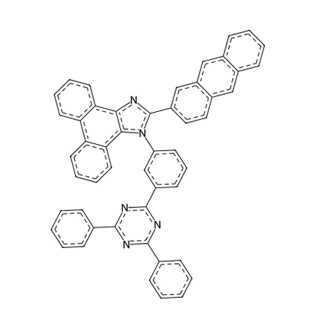 c1ccc(-c2nc(-c3ccccc3)nc(-c3cccc(-n4c(-c5ccc6cc7ccccc7cc6c5)nc5c6ccccc6c6ccccc6c54)c3)n2)cc1